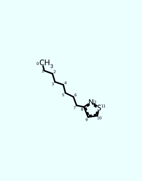 CCCCCCCCc1ccsn1